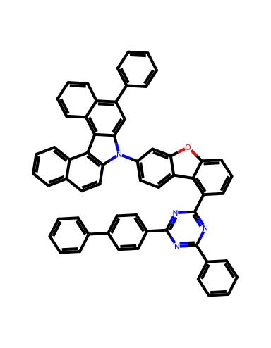 c1ccc(-c2ccc(-c3nc(-c4ccccc4)nc(-c4cccc5oc6cc(-n7c8ccc9ccccc9c8c8c9ccccc9c(-c9ccccc9)cc87)ccc6c45)n3)cc2)cc1